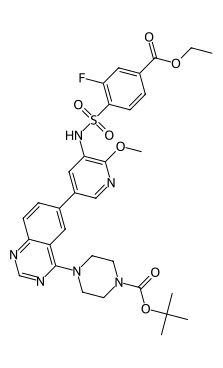 CCOC(=O)c1ccc(S(=O)(=O)Nc2cc(-c3ccc4ncnc(N5CCN(C(=O)OC(C)(C)C)CC5)c4c3)cnc2OC)c(F)c1